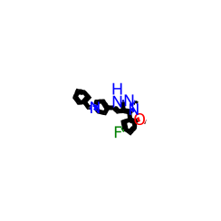 COc1ccc(F)cc1-c1ncnc2[nH]c(C3=CCN(Cc4ccccc4)CC3)cc12